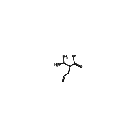 C=CCC(C(=O)O)N(N)N